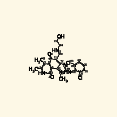 Cc1[nH]c(=O)c2c(c1C)C(=O)C(CNCCO)=C1N=C(Nc3c(Cl)cccc3Cl)N(C)C12